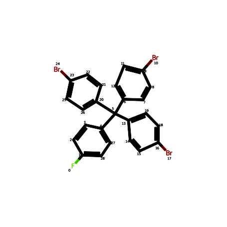 Fc1ccc(C(c2ccc(Br)cc2)(c2ccc(Br)cc2)c2ccc(Br)cc2)cc1